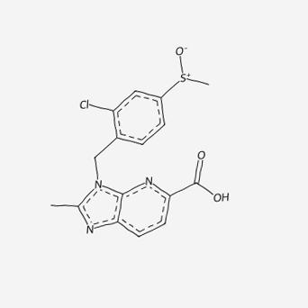 Cc1nc2ccc(C(=O)O)nc2n1Cc1ccc([S+](C)[O-])cc1Cl